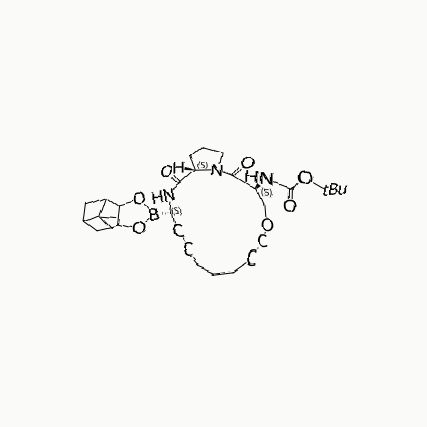 CC(C)(C)OC(=O)N[C@H]1COCCCCCCC[C@H](B2OC3CC4CC(C3O2)C4(C)C)NC(=O)[C@@H]2CCCN2C1=O